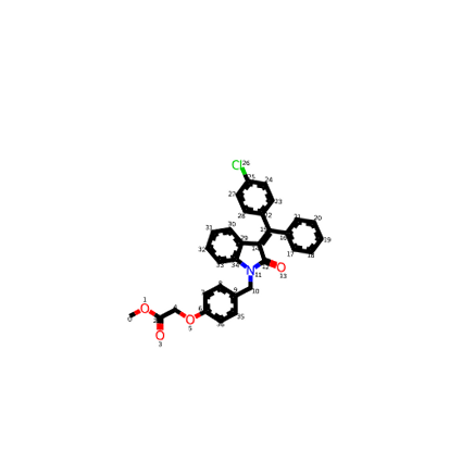 COC(=O)COc1ccc(CN2C(=O)/C(=C(\c3ccccc3)c3ccc(Cl)cc3)c3ccccc32)cc1